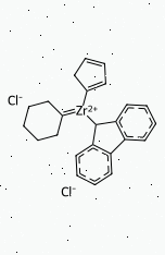 C1=CC[C]([Zr+2](=[C]2CCCCC2)[CH]2c3ccccc3-c3ccccc32)=C1.[Cl-].[Cl-]